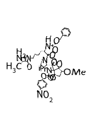 COC1CC(=O)C(C(=O)[C@@H]2CCCN2C(=O)[C@H](CCCCNC(=O)[C@H](C)N)NC(=O)OCc2ccccc2)(N(C(=O)Oc2ccc([N+](=O)[O-])cc2)C(C)C)C1=O